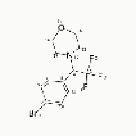 FC(F)(F)C(c1ccc(Br)cc1)N1CCOCC1